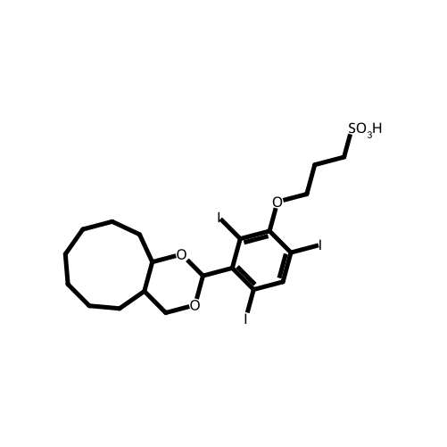 O=S(=O)(O)CCCOc1c(I)cc(I)c(C2OCC3CCCCCCCC3O2)c1I